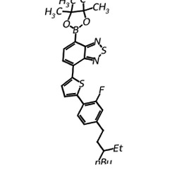 CCCCC(CC)CCc1ccc(-c2ccc(-c3ccc(B4OC(C)(C)C(C)(C)O4)c4nsnc34)s2)c(F)c1